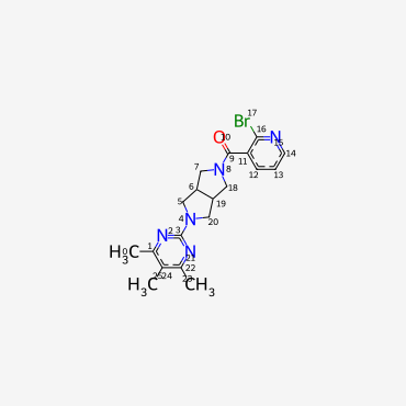 Cc1nc(N2CC3CN(C(=O)c4cccnc4Br)CC3C2)nc(C)c1C